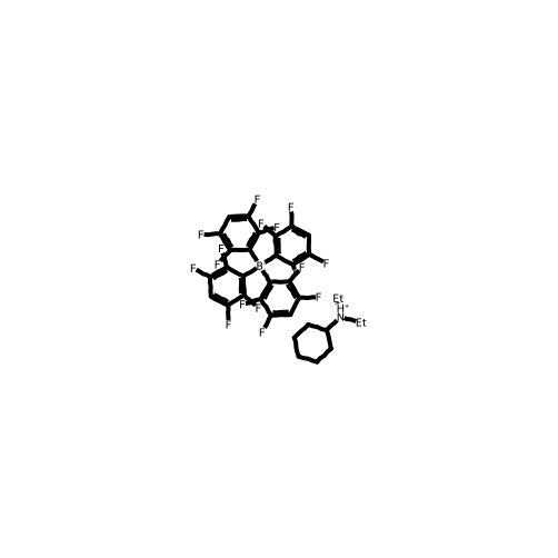 CC[NH+](CC)C1CCCCC1.Fc1cc(F)c(F)c([B-](c2c(F)c(F)cc(F)c2F)(c2c(F)c(F)cc(F)c2F)c2c(F)c(F)cc(F)c2F)c1F